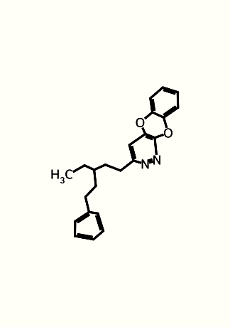 CCC(CCc1ccccc1)CCc1cc2c(nn1)Oc1ccccc1O2